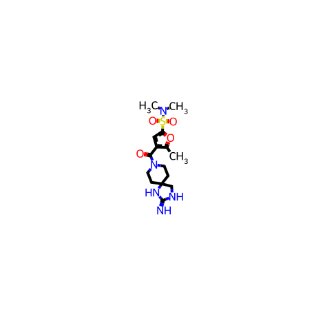 Cc1oc(S(=O)(=O)N(C)C)cc1C(=O)N1CCC2(CC1)CNC(=N)N2